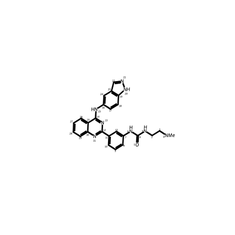 CNCCNC(=O)Nc1cccc(-c2nc(Nc3ccc4[nH]ncc4c3)c3ccccc3n2)c1